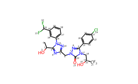 CC(O)c1nc(Cn2nc(-c3ccc(Cl)cc3)n(C[C@H](O)C(F)(F)F)c2=O)nn1-c1cccc(C(F)F)c1